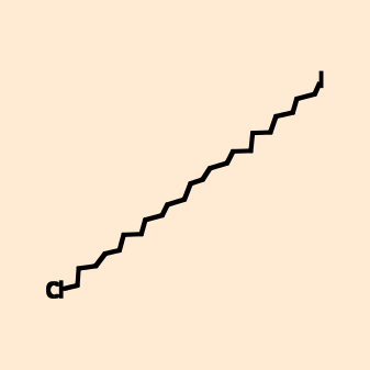 ClCCCCCCCCCCCCCCCCCCCCCCCI